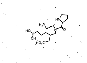 NCCN(CC(CCCB(O)O)CC(=O)O)C(=O)[C@@H]1CCCN1